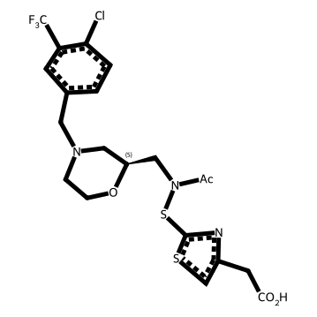 CC(=O)N(C[C@@H]1CN(Cc2ccc(Cl)c(C(F)(F)F)c2)CCO1)Sc1nc(CC(=O)O)cs1